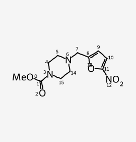 COC(=O)N1CCN(Cc2ccc([N+](=O)[O-])o2)CC1